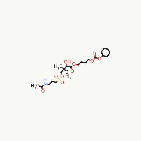 CC(=O)NCCCS(=O)(=O)OCC(C)(C)[C@@H](O)C(=O)OCCCCOC(=O)OC1CCCCC1